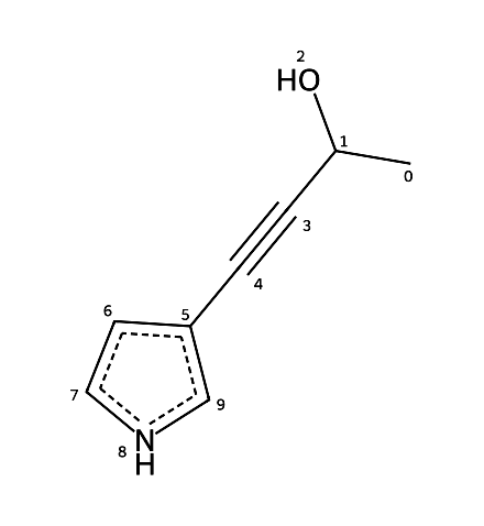 CC(O)C#Cc1cc[nH]c1